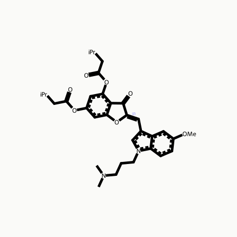 COc1ccc2c(c1)c(/C=C1\Oc3cc(OC(=O)CC(C)C)cc(OC(=O)CC(C)C)c3C1=O)cn2CCCN(C)C